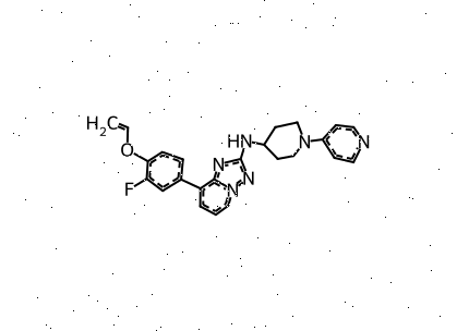 C=COc1ccc(-c2cccn3nc(NC4CCN(c5ccncc5)CC4)nc23)cc1F